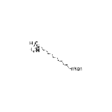 CCCCCCCCCCCCCCCCCCCCC[SiH](C)C